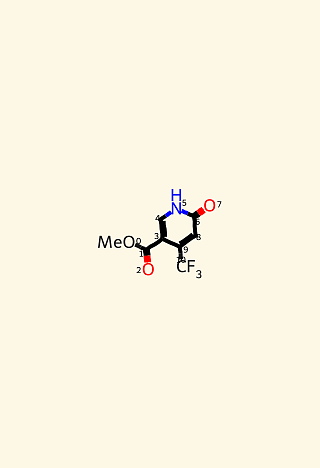 COC(=O)c1c[nH]c(=O)cc1C(F)(F)F